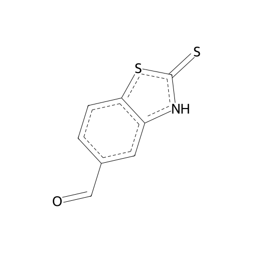 O=Cc1ccc2sc(=S)[nH]c2c1